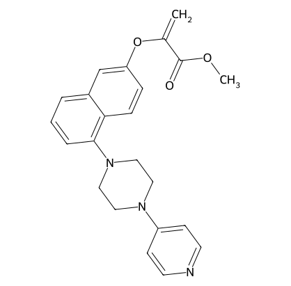 C=C(Oc1ccc2c(N3CCN(c4ccncc4)CC3)cccc2c1)C(=O)OC